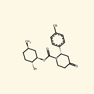 CC(C)[C@@H]1CC[C@@H](C)C[C@H]1OC(=O)N1CCC(=O)C[C@H]1c1ccc(C#N)cc1